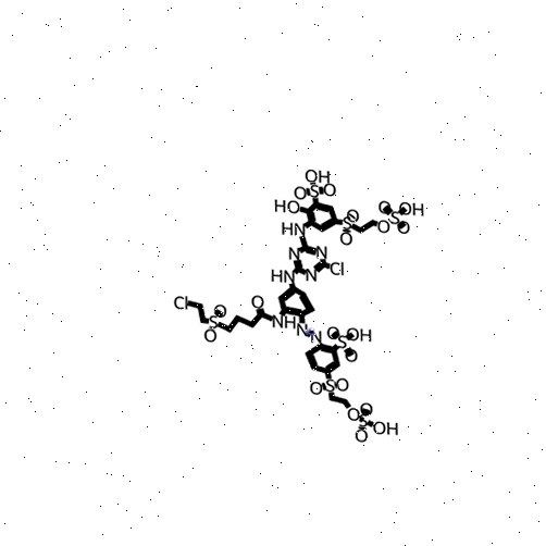 O=C(CCCS(=O)(=O)CCCl)Nc1cc(Nc2nc(Cl)nc(Nc3cc(S(=O)(=O)CCOS(=O)(=O)O)cc(S(=O)(=O)O)c3O)n2)ccc1/N=N/c1ccc(S(=O)(=O)CCOS(=O)(=O)O)cc1S(=O)(=O)O